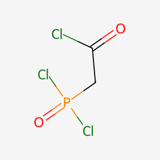 O=C(Cl)CP(=O)(Cl)Cl